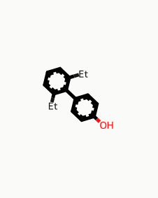 CCc1cccc(CC)c1-c1ccc(O)cc1